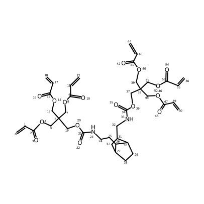 C=CC(=O)OCC(COC(=O)C=C)(COC(=O)C=C)COC(=O)NCCC1C2CCC1C(CNC(=O)OCC(COC(=O)C=C)(COC(=O)C=C)COC(=O)C=C)C2